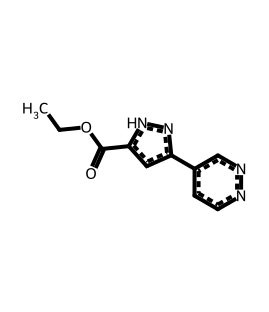 CCOC(=O)c1cc(-c2ccnnc2)n[nH]1